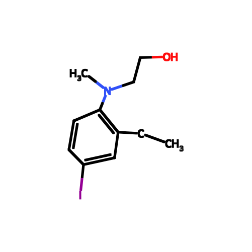 CCc1cc(I)ccc1N(C)CCO